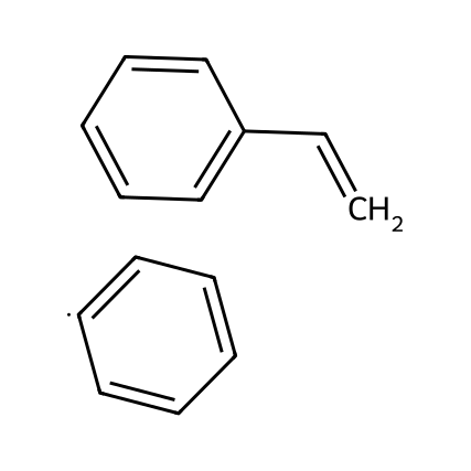 C=Cc1ccccc1.[c]1ccccc1